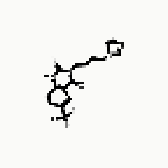 O=c1[nH]c2ccc(C(F)(F)F)cc2c(=O)n1CCCCn1ccnc1